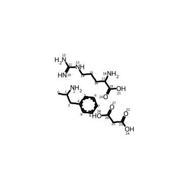 CC(N)Cc1ccccc1.N=C(N)NCCCC(N)C(=O)O.O=C(O)CC(=O)O